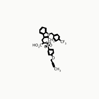 CC#CCOc1ccc(S(=O)(=O)NC(Cc2c(C)n(Cc3ccc(C(F)(F)F)cc3)c3ccccc23)C(=O)O)cc1